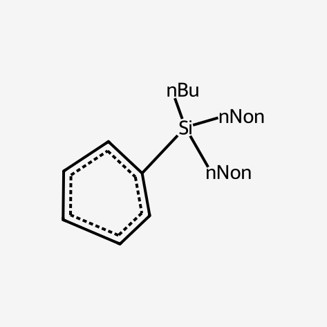 CCCCCCCCC[Si](CCCC)(CCCCCCCCC)c1ccccc1